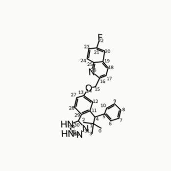 CC(C)(C)C(c1ccccc1)c1cc(OCc2ccc3cc(F)ccc3n2)ccc1C1N=NNN1